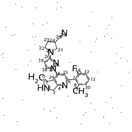 C=C1NCc2nc(-c3c(C)cccc3F)cc(-n3ccc(N4CCC(C#N)C4)n3)c21